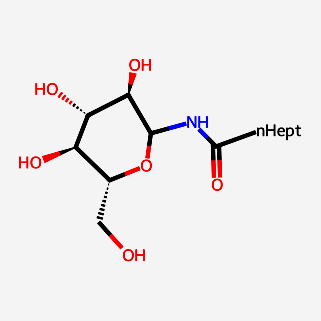 CCCCCCCC(=O)NC1O[C@H](CO)[C@@H](O)[C@H](O)[C@H]1O